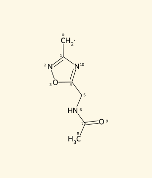 [CH2]c1noc(CNC(C)=O)n1